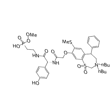 CCCC[N+]1(CCCC)CC(c2ccccc2)c2cc(SC)c(OCC(=O)N[C@@H](C(=O)NCCP(=O)(O)OOC)c3ccc(O)cc3)cc2S(=O)(=O)C1